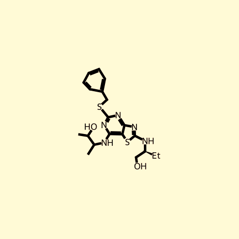 CC[C@@H](CO)Nc1nc2nc(SCc3ccccc3)nc(NC(C)C(C)O)c2s1